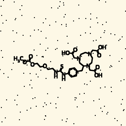 COC(=O)OCCOCCNC(=S)Nc1ccc(CC2CN(CC(=O)O)CCN(CC(=O)O)CCN2CC(=O)O)cc1